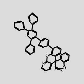 c1ccc(-c2cc(-c3ccccc3)c(-c3ccc(-c4cccc5c4Oc4ncccc4C54c5ccccc5Oc5ccccc54)cc3)cc2-c2ccccc2)cc1